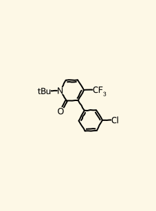 CC(C)(C)n1ccc(C(F)(F)F)c(-c2cccc(Cl)c2)c1=O